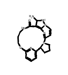 NC1NN2C=CC3=NC2=C1C(=O)NCCCOc1cccc(n1)C1CCCN31